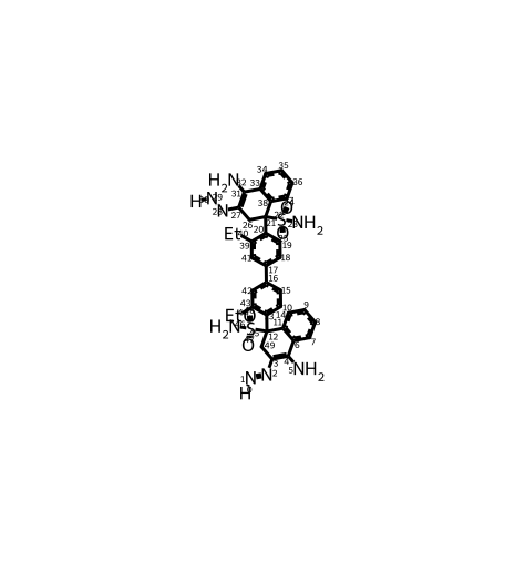 [H]/N=N/C1=C(N)c2ccccc2C(c2ccc(-c3ccc(C4(S(N)(=O)=O)CC(/N=N/[H])=C(N)c5ccccc54)c(CC)c3)cc2CC)(S(N)(=O)=O)C1